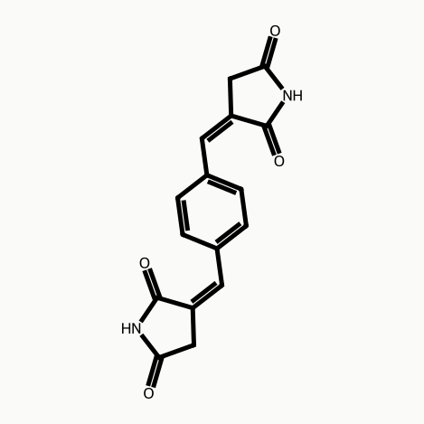 O=C1CC(=Cc2ccc(C=C3CC(=O)NC3=O)cc2)C(=O)N1